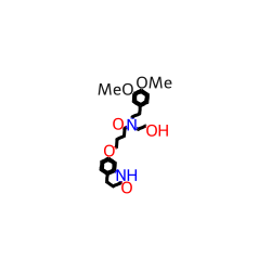 COc1ccc(CCN(CCO)C(=O)CCCOc2ccc3c(c2)NC(=O)CC3)cc1OC